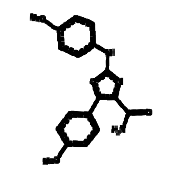 COc1ccc(Nc2nc(C(N)=O)c(-c3ccc(OC)cc3)o2)cc1